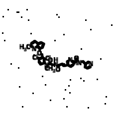 Cc1ccc2cccc(OCc3c(Cl)ccc(N(C)C(=O)CNC(=O)C=Cc4ccc(C(=O)NCc5cccnc5)nc4)c3Cl)c2n1